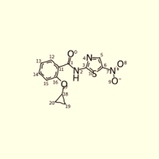 O=C(Nc1ncc([N+](=O)[O-])s1)c1ccccc1OC1CC1